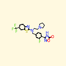 O=c1[nH]c(-c2ccc(CN(CCN3CCCC3)c3nc4ccc(C(F)(F)F)cc4s3)cc2F)no1